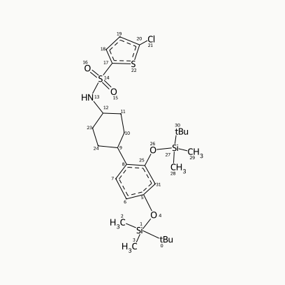 CC(C)(C)[Si](C)(C)Oc1ccc(C2CCC(NS(=O)(=O)c3ccc(Cl)s3)CC2)c(O[Si](C)(C)C(C)(C)C)c1